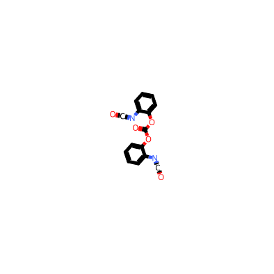 O=C=Nc1ccccc1OC(=O)Oc1ccccc1N=C=O